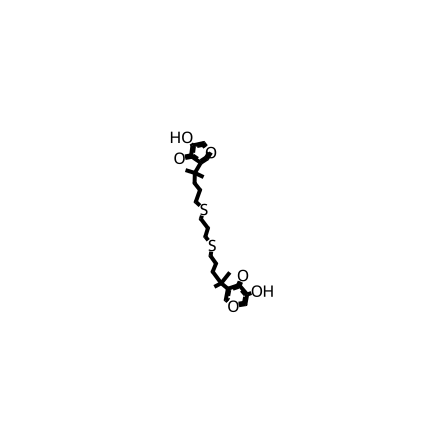 CC(C)(CCCSCCCSCCCC(C)(C)c1cocc(O)c1=O)c1cocc(O)c1=O